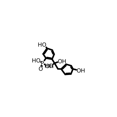 O=P(O)(O)c1cc(O)ccc1C(O)(O)Cc1ccc(O)cc1